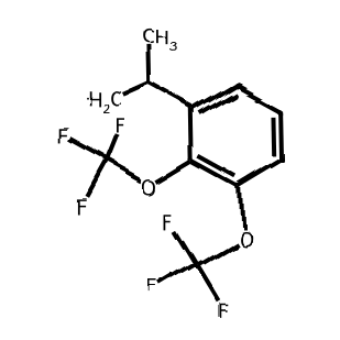 [CH2]C(C)c1cccc(OC(F)(F)F)c1OC(F)(F)F